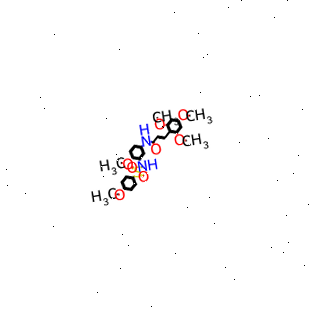 COc1ccc(S(=O)(=O)Nc2cc(NC(=O)C=Cc3c(OC)cc(OC)cc3OC)ccc2OC)cc1